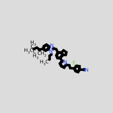 C=C(CC(C)(C)C)c1ccc2nc(Cc3ccc(-c4cccc(CCc5ccc(C#N)cc5F)n4)c4c3CCC4)n(CCCC)c2c1